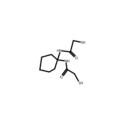 O=C(CS)NC1(NC(=O)CS)CCCCC1